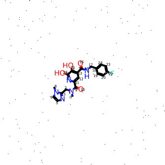 CN(Cc1nccn1C)C(=O)c1cc(C(=O)NCc2ccc(F)cc2)c(O)c(O)n1